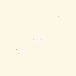 C[C@@H]1CCCN1CCc1cn2cc(-c3ccc(F)c(C#N)c3)ccc2n1